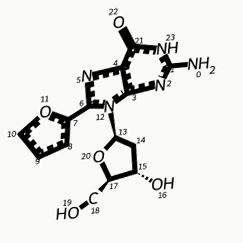 Nc1nc2c(nc(-c3ccco3)n2[C@H]2C[C@H](O)[C@@H](CO)O2)c(=O)[nH]1